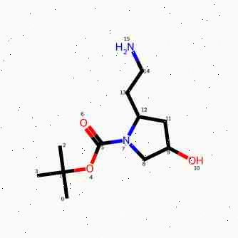 CC(C)(C)OC(=O)N1CC(O)CC1CCN